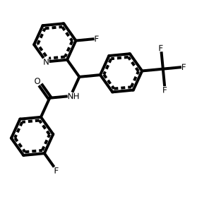 O=C(NC(c1ccc(C(F)(F)F)cc1)c1ncccc1F)c1cccc(F)c1